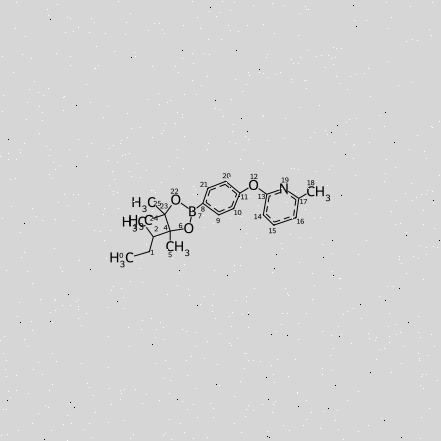 CCC(C)C1(C)OB(c2ccc(Oc3cccc(C)n3)cc2)OC1(C)C